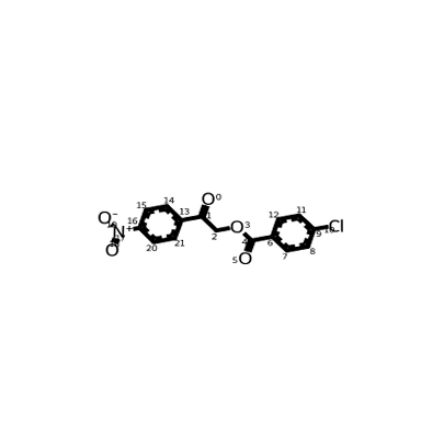 O=C(COC(=O)c1ccc(Cl)cc1)c1ccc([N+](=O)[O-])cc1